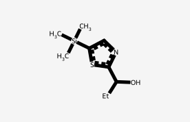 [CH2]CC(O)c1ncc([Si](C)(C)C)s1